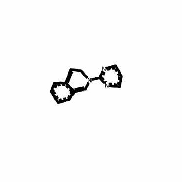 C1=c2ccccc2=CN(c2ncccn2)C1